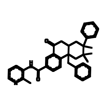 Cc1ncccc1NC(=O)c1ccc2c(c1)C(=O)CC1CC(C)(c3ccccc3)C(C)(C)CC21Cc1ccccc1